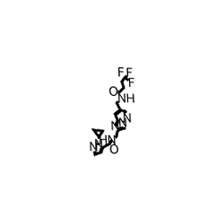 O=C(CCC(F)(F)F)NCc1cnn2cc(CNC(=O)c3ccnn3C3CC3)nc2c1